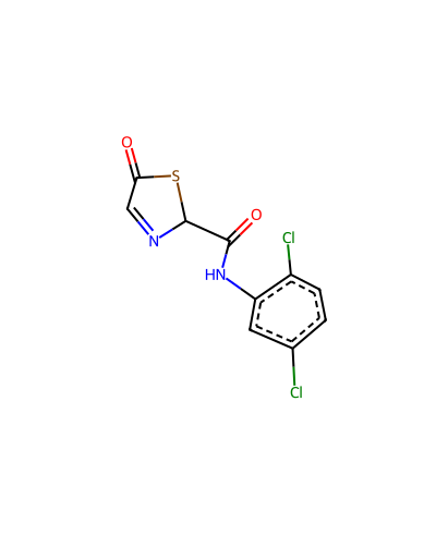 O=C1C=NC(C(=O)Nc2cc(Cl)ccc2Cl)S1